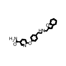 NC(=O)c1ccc(Oc2ccc(CCNCc3cc4ccccc4o3)cc2)nc1